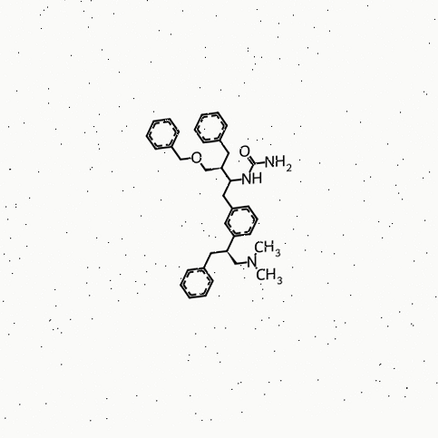 CN(C)C[C@@H](Cc1ccccc1)c1cccc(CC(NC(N)=O)[C@@H](COCc2ccccc2)Cc2ccccc2)c1